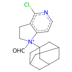 O=C[N+]1(C23CC4CC(CC(C4)C2)C3)CCc2c1ccnc2Cl